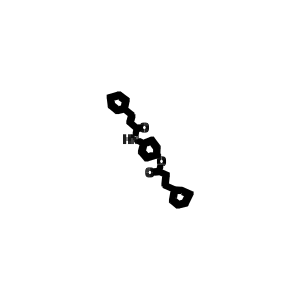 O=C(C=Cc1ccccc1)Nc1ccc(OC(=O)C=Cc2ccccc2)cc1